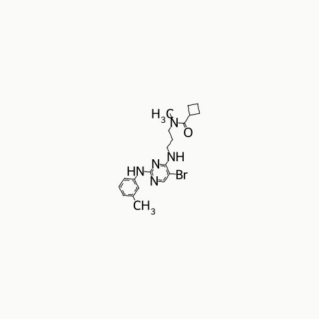 Cc1cccc(Nc2ncc(Br)c(NCCCN(C)C(=O)C3CCC3)n2)c1